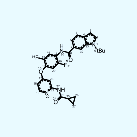 CC(C)(C)n1ccc2ccc(C(=O)Nc3cc(F)c(Oc4ccnc(NC(=O)C5CC5)c4)cc3F)cc21